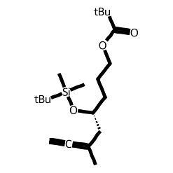 C=C=C(C)C[C@@H](CCCOC(=O)C(C)(C)C)O[Si](C)(C)C(C)(C)C